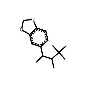 CC(c1ccc2c(c1)OCO2)C(C)C(C)(C)C